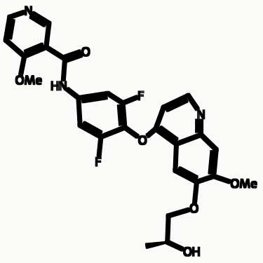 COc1cc2nccc(Oc3c(F)cc(NC(=O)c4cnccc4OC)cc3F)c2cc1OC[C@H](C)O